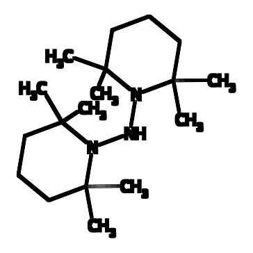 CC1(C)CCCC(C)(C)N1NN1C(C)(C)CCCC1(C)C